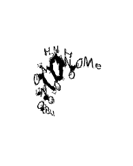 COC(=O)Nc1cc2c(cc1N)N(C)C(=O)[C@H](N(C)C(=O)OC(C)(C)C)CO2